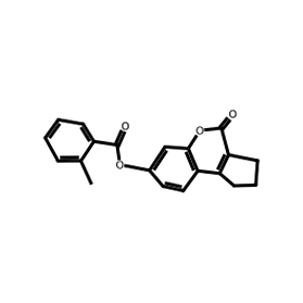 Cc1ccccc1C(=O)Oc1ccc2c3c(c(=O)oc2c1)CCC3